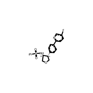 CC(C)S(=O)(=O)N[C@H]1COC[C@H]1c1ccc(-c2ccc(F)cn2)cc1